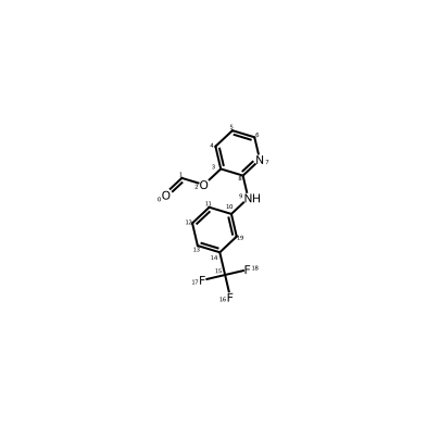 O=COc1cccnc1Nc1cccc(C(F)(F)F)c1